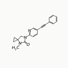 CN1C(=O)N(c2ccc(C#Cc3ccccc3)cn2)CC12CC2